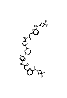 O=C(Cc1cccc(NC2CC(F)(F)C2)n1)Nc1nnc([C@H]2CCC[C@H](c3nnc(NC(=O)Cc4cccc(NC5CC(F)(F)C5)n4)s3)C2)s1